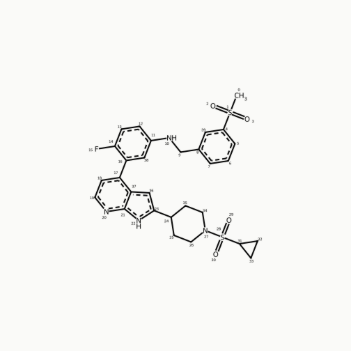 CS(=O)(=O)c1cccc(CNc2ccc(F)c(-c3ccnc4[nH]c(C5CCN(S(=O)(=O)C6CC6)CC5)cc34)c2)c1